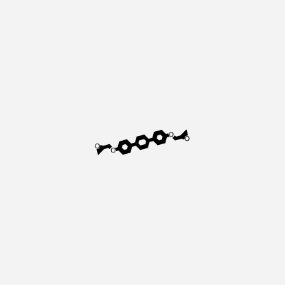 C1=CC(c2ccc(OCC3CO3)cc2)C=CC1c1ccc(OCC2CO2)cc1